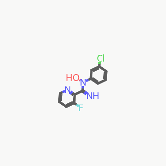 N=C(c1ncccc1F)N(O)c1cccc(Cl)c1